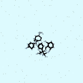 N[C@H]1CC[C@@](c2ccc(C(OCc3c(F)cccc3F)(C(F)(F)F)C(F)(F)F)cc2)(S(=O)(=O)c2ccc(F)cc2)CC1